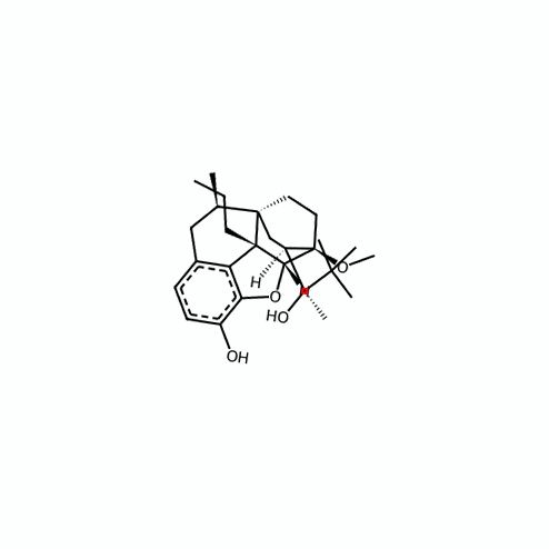 CCC[C@]12c3c4ccc(O)c3O[C@H]1[C@@]1(OC)CC[C@@]2(C[C@@H]1[C@](C)(O)C(C)(C)C)[C@H](C)C4